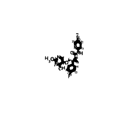 Cc1ncc(OC[C@@]2(c3ccc(F)cc3)C[C@H]2C(=O)Nc2ccc(F)cn2)c(C)n1